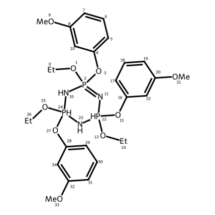 CCOP1(Oc2cccc(OC)c2)=N[PH](OCC)(Oc2cccc(OC)c2)N[PH](OCC)(Oc2cccc(OC)c2)N1